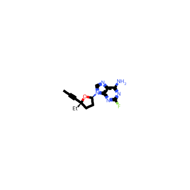 CC#C[C@@]1(CC)CC[C@H](n2cnc3c(N)nc(F)nc32)O1